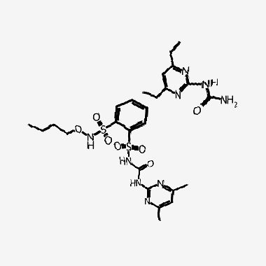 CCCCONS(=O)(=O)c1ccccc1S(=O)(=O)NC(=O)Nc1nc(C)cc(C)n1.CCc1cc(CC)nc(NC(N)=O)n1